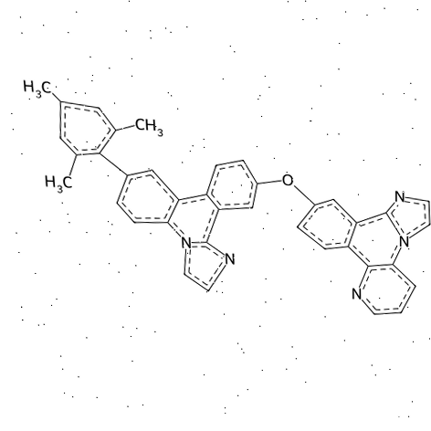 Cc1cc(C)c(-c2ccc3c(c2)c2ccc(Oc4ccc5c(c4)c4nccn4c4cccnc54)cc2c2nccn32)c(C)c1